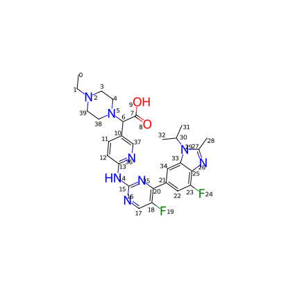 CCN1CCN(C(C(=O)O)c2ccc(Nc3ncc(F)c(-c4cc(F)c5nc(C)n(C(C)C)c5c4)n3)nc2)CC1